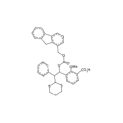 COc1c(C(=O)O)cccc1C(OC(=O)OCc1cccc2c1Cc1ccccc1-2)C(c1ccccc1)C1SCCCS1